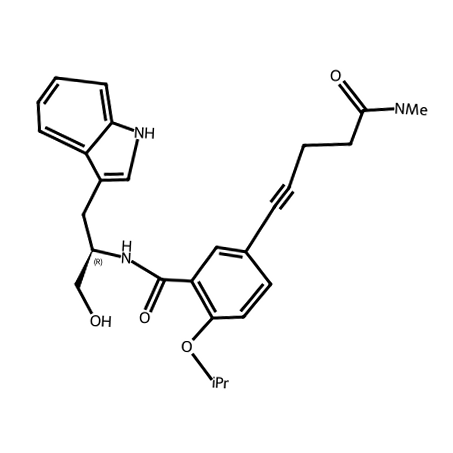 CNC(=O)CCC#Cc1ccc(OC(C)C)c(C(=O)N[C@@H](CO)Cc2c[nH]c3ccccc23)c1